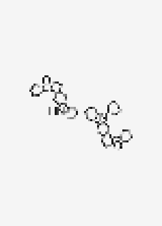 c1ccc(-n2c3ccc(-c4ccc5[nH]c6cc7c(ccc8oc9ccccc9c87)cc6c5c4)cc3c3cc4ccc5oc6ccccc6c5c4cc32)cc1